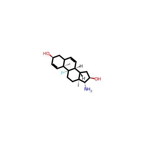 C[C@]12CC[C@]3(F)[C@@H](C=CC4C[C@H](O)C=C[C@@]43C)[C@@H]1C[C@@H](O)[C@@H]2N